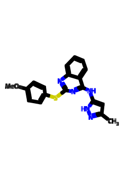 COc1ccc(Sc2nc(Nc3cc(C)n[nH]3)c3ccccc3n2)cc1